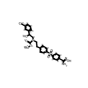 CC(C)(C)OC(=O)N(CCc1ccc(S(=O)(=O)c2ccc(C(N)=NO)cc2)cc1)CC(O)c1cccc(Cl)c1